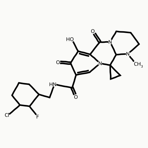 CN1CCCN2C(=O)c3c(O)c(=O)c(C(=O)NCC4CCCC(Cl)C4F)cn3C3(CC3)C12